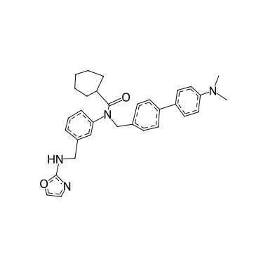 CN(C)c1ccc(-c2ccc(CN(C(=O)C3CCCCC3)c3cccc(CNc4ncco4)c3)cc2)cc1